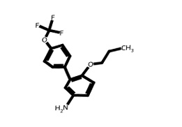 CCCOc1ccc(N)cc1-c1ccc(OC(F)(F)F)cc1